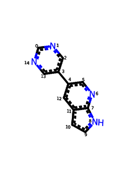 c1ncc(-c2cnc3[nH]ccc3c2)cn1